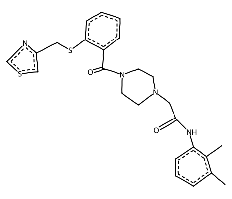 Cc1cccc(NC(=O)CN2CCN(C(=O)c3ccccc3SCc3cscn3)CC2)c1C